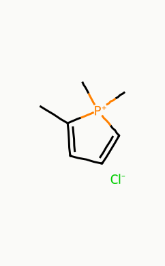 CC1=CC=C[P+]1(C)C.[Cl-]